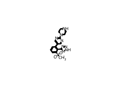 CS(=O)(=O)c1cccc(-c2cnc(N3CCNCC3)nc2)c1-c1nn[nH]n1